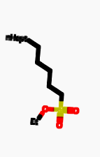 CCCCCCCCCCCCS(=O)(=O)OCC